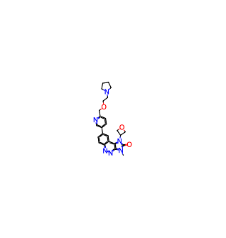 Cn1c(=O)n(C2COC2)c2c3cc(-c4ccc(COCCN5CCCC5)nc4)ccc3nnc21